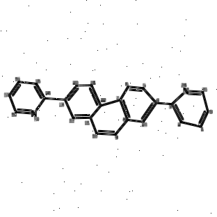 c1ccc(-c2ccc3c(ccc4cc(-c5ccccn5)ccc43)c2)nc1